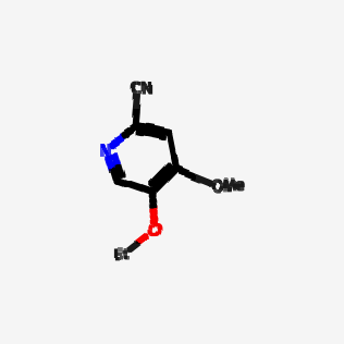 CCOc1cnc(C#N)cc1OC